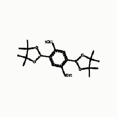 CCCCCCCCc1cc(B2OC(C)(C)C(C)(C)O2)c(CCCCCCCC)cc1B1OC(C)(C)C(C)(C)O1